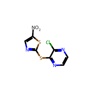 O=[N+]([O-])c1cnc(Sc2nccnc2Cl)s1